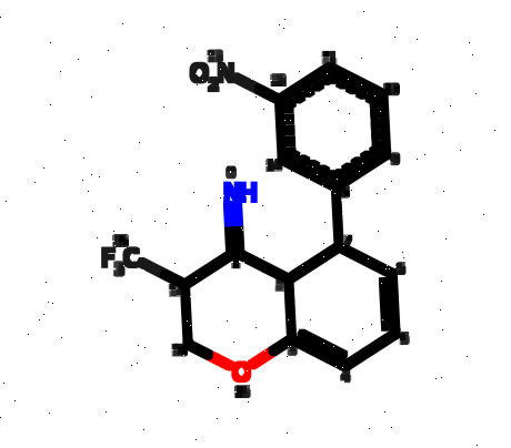 N=C1C2C(=CC=CC2c2cccc([N+](=O)[O-])c2)OCC1C(F)(F)F